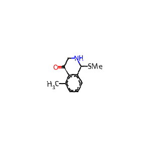 CSC1NCC(=O)c2c(C)cccc21